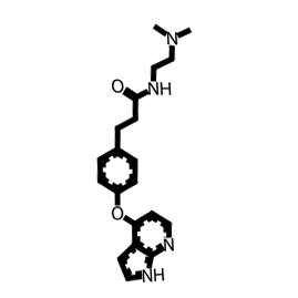 CN(C)CCNC(=O)CCc1ccc(Oc2ccnc3[nH]ccc23)cc1